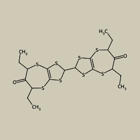 CCC1SC2=C(SC(CC)C1=O)SC(C1SC3=C(SC(CC)C(=O)C(CC)S3)S1)S2